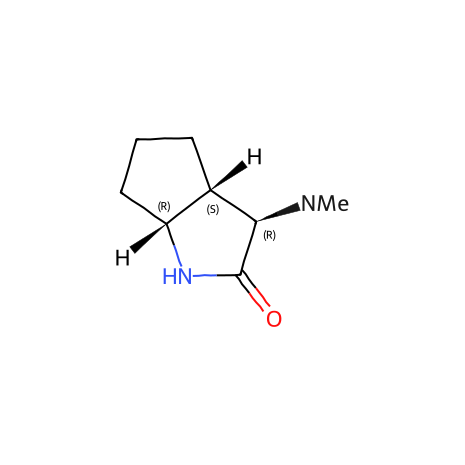 CN[C@H]1C(=O)N[C@@H]2CCC[C@@H]21